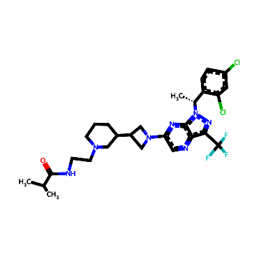 CC(C)C(=O)NCCN1CCCC(C2CN(c3cnc4c(C(F)(F)F)nn([C@H](C)c5ccc(Cl)cc5Cl)c4n3)C2)C1